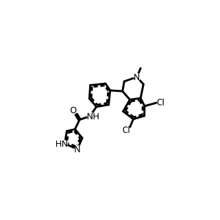 CN1Cc2c(Cl)cc(Cl)cc2C(c2cccc(NC(=O)c3cn[nH]c3)c2)C1